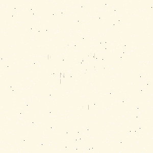 CNC(CC1(C(=O)O)C=CC(O)C=C1)C(=O)O